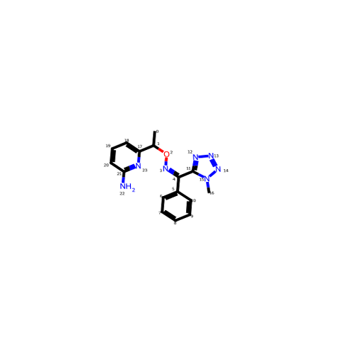 CC(ON=C(c1ccccc1)c1nnnn1C)c1cccc(N)n1